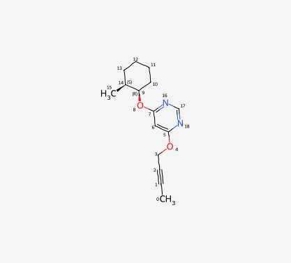 CC#CCOc1cc(O[C@@H]2CCCC[C@@H]2C)ncn1